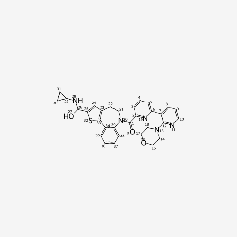 O=C(c1cccc(-c2cccnc2N2CCOCC2)n1)N1CCc2cc(C(O)NC3CC3)sc2-c2ccccc21